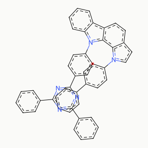 c1ccc(-c2ccc(-n3ccc4ccc5c6ccccc6n(-c6ccc(-c7nc(-c8ccccc8)nc(-c8ccccc8)n7)cc6)c5c43)cc2)cc1